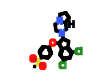 CS(=O)(=O)c1ccc(OC2c3cc(Cl)cc(Cl)c3CC2N2CCN3CCC[C@H]3C2)cc1